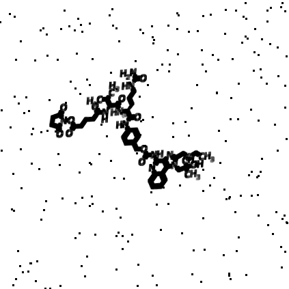 CCOCc1nc2c(NC(=O)OCc3ccc(NC(=O)[C@H](CCCNC(N)=O)NC(=O)[C@@H](NC(=O)CCCC(=O)ON4C(=O)CCC4=O)C(C)C)cc3)nc3ccccc3c2n1CC(C)(C)O